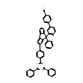 N#Cc1ccc(-c2ccc3c(c2)C2(c4ccccc4O3)c3ccccc3-c3ccc(-c4ccc(-c5nc(-c6ccccc6)nc(-c6ccccc6)n5)cc4)cc32)cc1